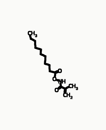 C=C(C)C(=O)NOC(=O)CCCCCCCCCC